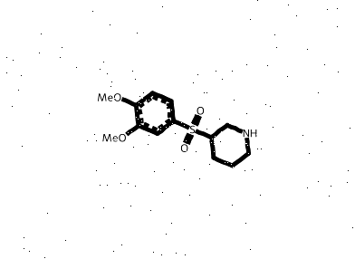 COc1ccc(S(=O)(=O)C2CCCNC2)cc1OC